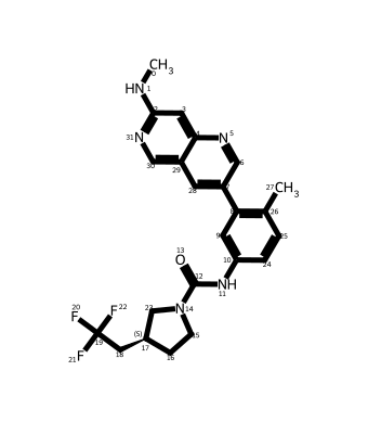 CNc1cc2ncc(-c3cc(NC(=O)N4CC[C@@H](CC(F)(F)F)C4)ccc3C)cc2cn1